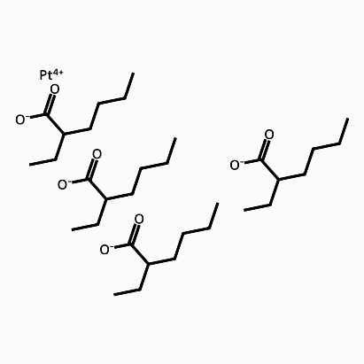 CCCCC(CC)C(=O)[O-].CCCCC(CC)C(=O)[O-].CCCCC(CC)C(=O)[O-].CCCCC(CC)C(=O)[O-].[Pt+4]